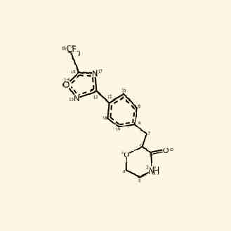 O=C1NCCOC1Cc1ccc(-c2noc(C(F)(F)F)n2)cc1